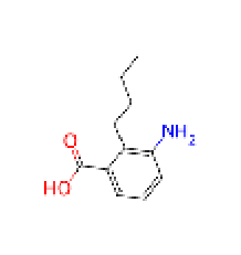 CCCCc1c(N)cccc1C(=O)O